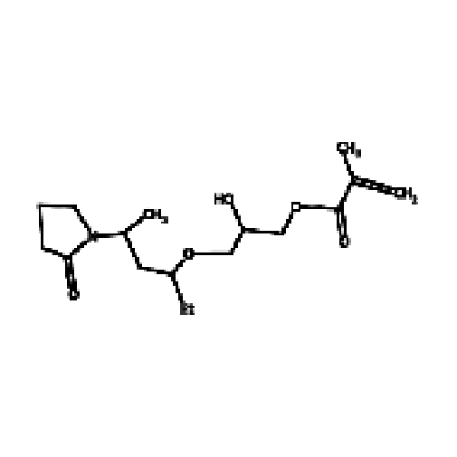 C=C(C)C(=O)OCC(O)COC(CC)CC(C)N1CCCC1=O